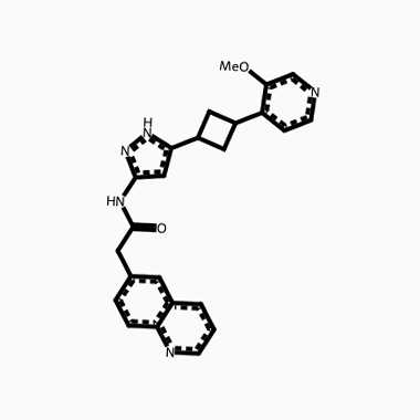 COc1cnccc1C1CC(c2cc(NC(=O)Cc3ccc4ncccc4c3)n[nH]2)C1